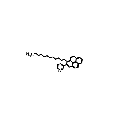 CCCCCCCCCCCCc1c(-c2cccnc2)cc2ccc3cccc4ccc1c2c34